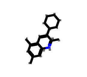 Cc1cc(C)c2cc(C3CCCCC3)c(C)nc2c1